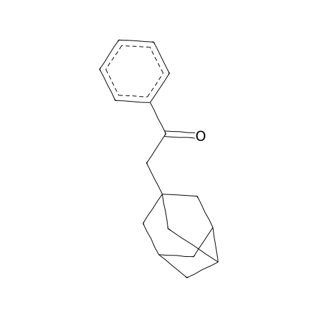 O=C(CC12CC3CC(C1)C(C3)C2)c1ccccc1